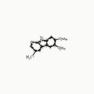 COc1cc2[nH]c3ncc(C)cc3c2cc1OC